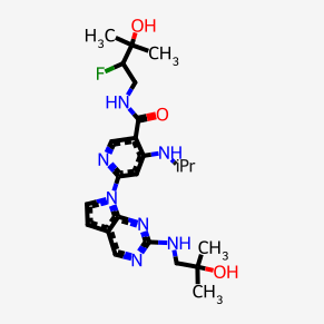 CC(C)Nc1cc(-n2ccc3cnc(NCC(C)(C)O)nc32)ncc1C(=O)NCC(F)C(C)(C)O